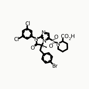 C[C@@]1(Cc2ccc(Br)cc2)C(=O)N(c2cc(Cl)cc(Cl)c2)c2ncc(S(=O)(=O)N3CCCCC3C(=O)O)n21